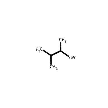 CCCC(C(C)C(F)(F)F)C(F)(F)F